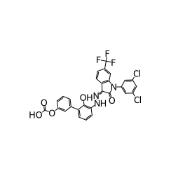 O=C(O)Oc1cccc(-c2cccc(NN=C3C(=O)N(c4cc(Cl)cc(Cl)c4)c4cc(C(F)(F)F)ccc43)c2O)c1